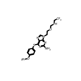 CC(C)Oc1ccc(Sc2nc(N)nc3c2ncn3CCOCPCC(F)(F)F)cc1